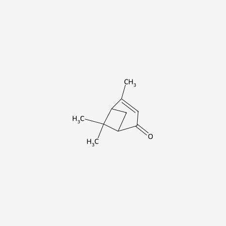 CC1=CC(=O)C2CC1C2(C)C